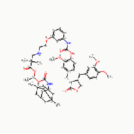 COc1ccc(C[C@H]2COC(=O)[C@@H]2Cc2ccc(OC(=O)Nc3cccc(OCCNCC(C)(C)C(=O)OC(C)OC(=O)NC45CC6CC(C)(CC(C)(C6)C4)C5)c3)c(OC)c2)cc1OC